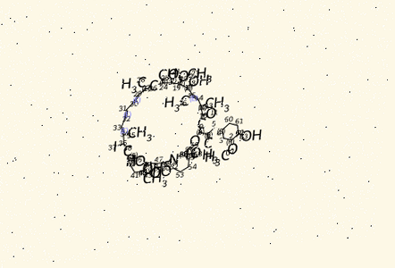 CO[C@@H]1C[C@H](C[C@@H](C)[C@@H]2CC(=O)[C@H](C)/C=C(\C)[C@@H](O)[C@@H](OC)C(=O)[C@H](C)C[C@H](C)/C=C/C=C/C=C(\C)C(I)C[C@@H]3CC[C@@H](C)[C@@](O)(O3)C(=O)C(=O)N3CCCC[C@H]3C(=O)O2)CC[C@H]1O